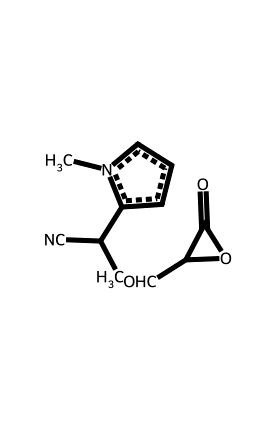 CC(C#N)c1cccn1C.O=CC1OC1=O